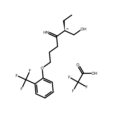 CC[C@@H](CO)C(=N)CCCOc1c[c]ccc1C(F)(F)F.O=C(O)C(F)(F)F